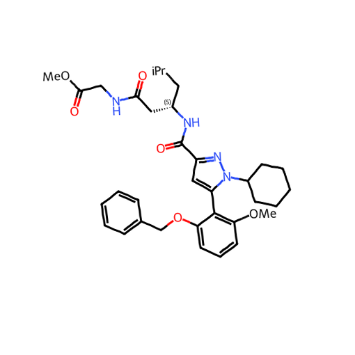 COC(=O)CNC(=O)C[C@H](CC(C)C)NC(=O)c1cc(-c2c(OC)cccc2OCc2ccccc2)n(C2CCCCC2)n1